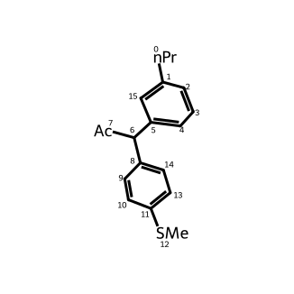 C[CH]Cc1cccc(C(C(C)=O)c2ccc(SC)cc2)c1